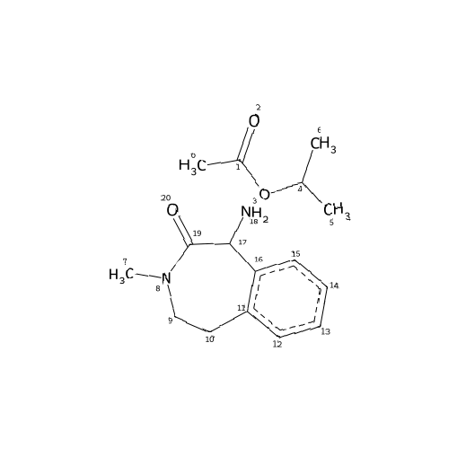 CC(=O)OC(C)C.CN1CCc2ccccc2C(N)C1=O